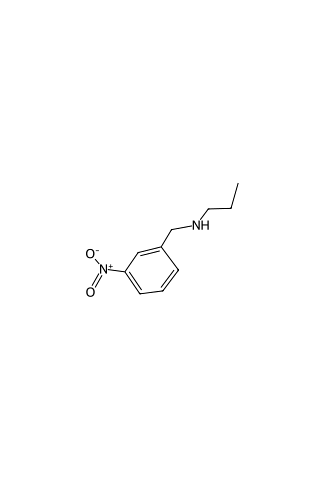 CCCNCc1cccc([N+](=O)[O-])c1